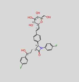 O=C1[C@H](CC[C@H](O)c2ccc(F)cc2)[C@@H](c2ccc(/C=C/[C@@H]3O[C@H](CO)[C@@H](O)[C@H](O)[C@H]3O)cc2)N1c1ccc(F)cc1